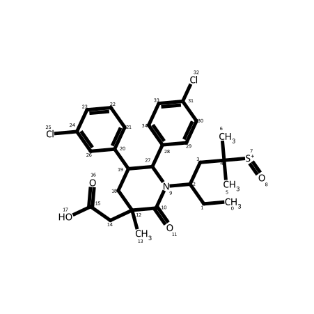 CCC(CC(C)(C)[S+]=O)N1C(=O)C(C)(CC(=O)O)CC(c2cccc(Cl)c2)C1c1ccc(Cl)cc1